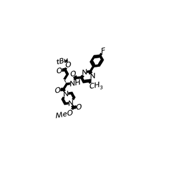 COC(=O)N1CCN(C(=O)[C@H](CCC(=O)OC(C)(C)C)NC(=O)c2cc(C)nc(-c3ccc(F)cc3)n2)CC1